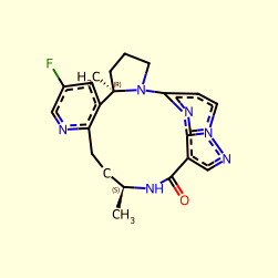 C[C@H]1CCc2ncc(F)cc2[C@@]2(C)CCCN2c2ccn3ncc(c3n2)C(=O)N1